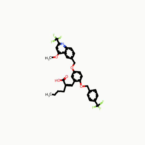 CCCCC(=Cc1cc(OCc2ccc3nc(C(F)(F)F)cc(OC)c3c2)ccc1OCc1ccc(C(F)(F)F)cc1)C(=O)O